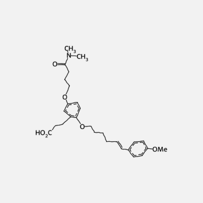 COc1ccc(/C=C/CCCCOc2ccc(OCCCC(=O)N(C)C)cc2CCC(=O)O)cc1